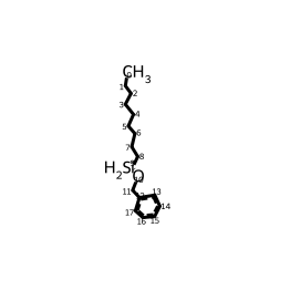 CCCCCCCCC[SiH2]OCc1ccccc1